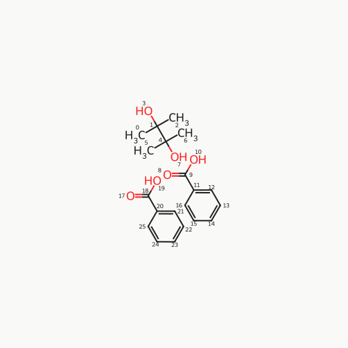 CC(C)(O)C(C)(C)O.O=C(O)c1ccccc1.O=C(O)c1ccccc1